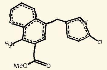 COC(=O)c1cc(Cc2ccc(Cl)nc2)c2cccnc2c1N